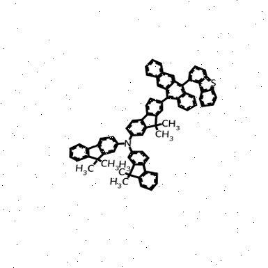 CC1(C)c2ccccc2-c2ccc(N(c3ccc4c(c3)C(C)(C)c3ccccc3-4)c3ccc4c(c3)C(C)(C)c3cc(-c5c6ccccc6c(-c6cccc7sc8ccccc8c67)c6cc7ccccc7cc56)ccc3-4)cc21